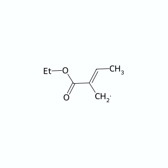 [CH2]C(=CC)C(=O)OCC